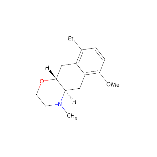 CCc1ccc(OC)c2c1C[C@H]1OCCN(C)[C@@H]1C2